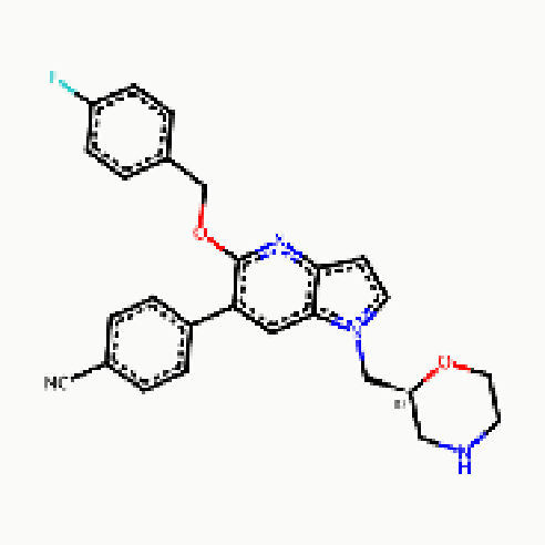 N#Cc1ccc(-c2cc3c(ccn3C[C@@H]3CNCCO3)nc2OCc2ccc(F)cc2)cc1